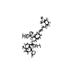 COc1ccc2nccc([C@H](O)CC[C@@H]3CCN(CCCCc4cccc(F)c4F)C[C@@H]3CC(=O)O)c2c1